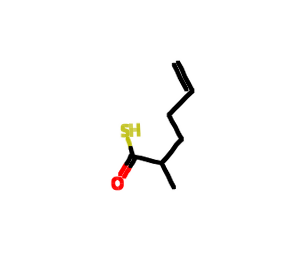 C=CCCC(C)C(=O)S